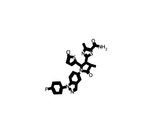 Cc1nc(C2C(C)C(=O)N(c3ccc4c(cnn4-c4ccc(F)cc4)c3)C2c2ccc(Cl)s2)sc1C(N)=O